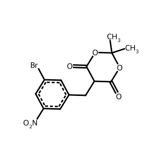 CC1(C)OC(=O)C(Cc2cc(Br)cc([N+](=O)[O-])c2)C(=O)O1